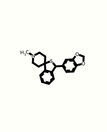 CN1CCC2(CC1)SC(c1ccc3c(c1)OCO3)c1ccccc12